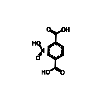 O=C(O)c1ccc(C(=O)O)cc1.O=NO